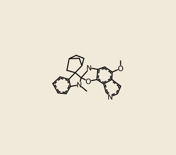 COc1cc2c(c3cnccc13)OC1(C=N2)N(C)c2ccccc2C12CC1CCC2C1